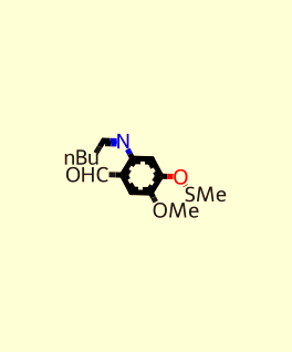 CCCC/C=N\c1cc(OSC)c(OC)cc1C=O